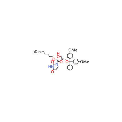 CCCCCCCCCCCCCCCOC[C@@H](O[C@@H](CO)COC(c1ccccc1)(c1ccc(OC)cc1)c1ccc(OC)cc1)n1ccc(=O)[nH]c1=O